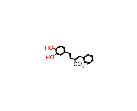 O=C(O)C(C=Cc1ccc(O)c(O)c1)=Cc1ccccc1